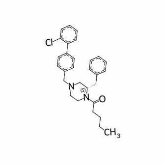 CCCCC(=O)N1CCN(Cc2ccc(-c3ccccc3Cl)cc2)C[C@@H]1Cc1ccccc1